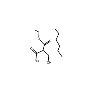 CCCCCC.CCOC(=O)C(CO)C(=O)O